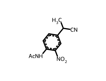 CC(=O)Nc1ccc(C(C)C#N)cc1[N+](=O)[O-]